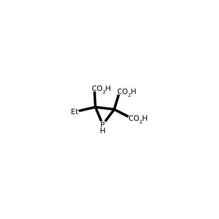 CCC1(C(=O)O)PC1(C(=O)O)C(=O)O